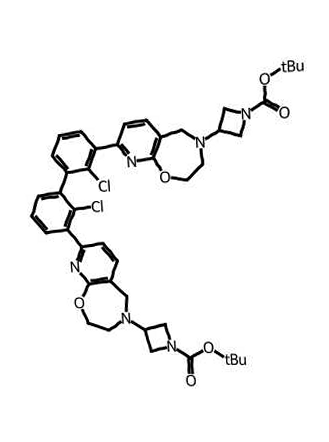 CC(C)(C)OC(=O)N1CC(N2CCOc3nc(-c4cccc(-c5cccc(-c6ccc7c(n6)OCCN(C6CN(C(=O)OC(C)(C)C)C6)C7)c5Cl)c4Cl)ccc3C2)C1